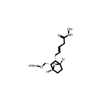 CCCCCCOC[C@@H]1[C@H](CC=CCC(=O)NO)[C@@H]2CC[C@H]1O2